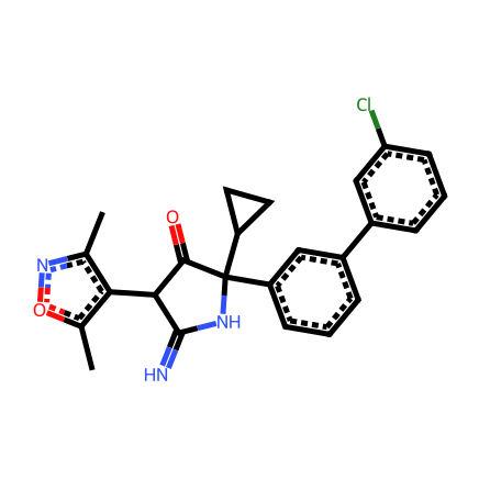 Cc1noc(C)c1C1C(=N)NC(c2cccc(-c3cccc(Cl)c3)c2)(C2CC2)C1=O